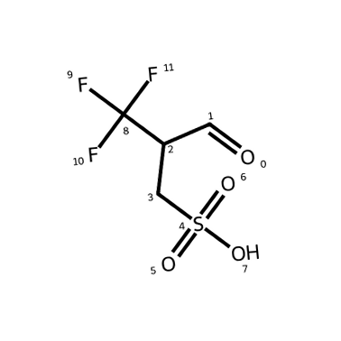 O=CC(CS(=O)(=O)O)C(F)(F)F